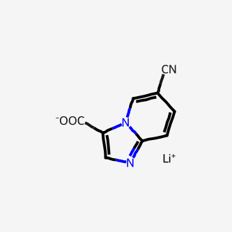 N#Cc1ccc2ncc(C(=O)[O-])n2c1.[Li+]